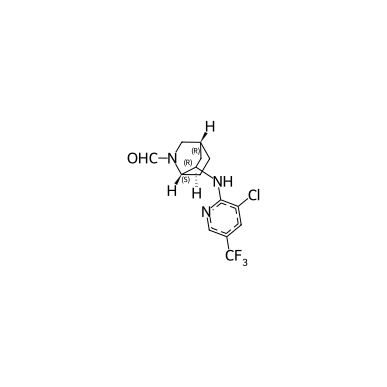 O=CN1C[C@@H]2CC[C@H]1[C@H](Nc1ncc(C(F)(F)F)cc1Cl)C2